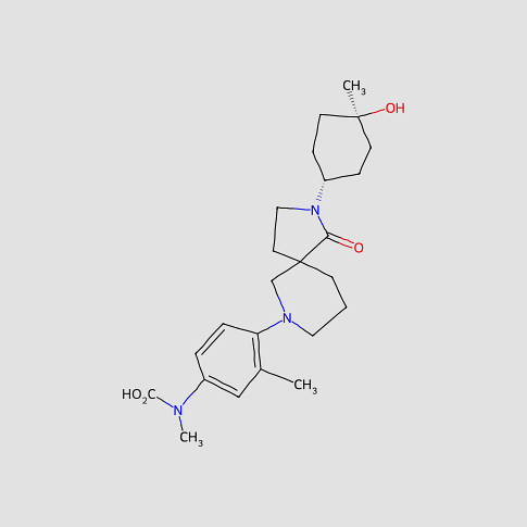 Cc1cc(N(C)C(=O)O)ccc1N1CCCC2(CCN([C@H]3CC[C@](C)(O)CC3)C2=O)C1